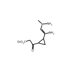 CCOC(=O)CC(=O)C1CC1/C(N)=C/N(C)N